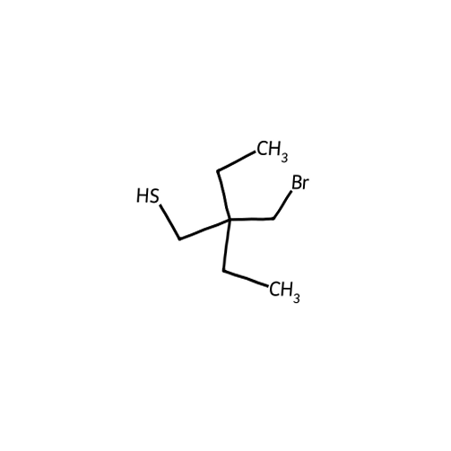 CCC(CC)(CS)CBr